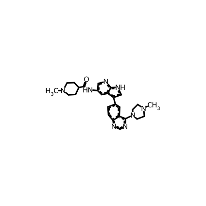 CN1CCC(C(=O)Nc2cnc3[nH]cc(-c4ccc5ncnc(N6CCN(C)CC6)c5c4)c3c2)CC1